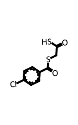 O=C(S)CSC(=O)c1ccc(Cl)cc1